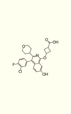 O=C(O)C1CC(Oc2nc(C3CCOCC3)c(-c3ccc(F)c(Cl)c3)c3ccc(O)cc23)C1